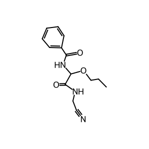 CCCOC(NC(=O)c1ccccc1)C(=O)NCC#N